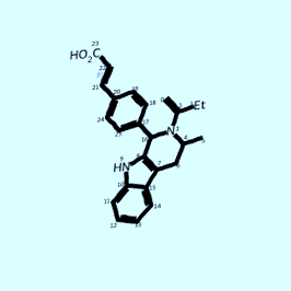 C=C(CC)N1C(C)Cc2c([nH]c3ccccc23)C1c1ccc(/C=C/C(=O)O)cc1